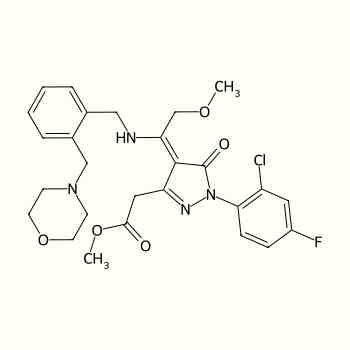 COCC(NCc1ccccc1CN1CCOCC1)=C1C(=O)N(c2ccc(F)cc2Cl)N=C1CC(=O)OC